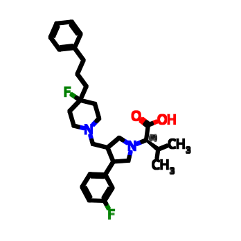 CC(C)[C@H](C(=O)O)N1CC(CN2CCC(F)(CCCc3ccccc3)CC2)C(c2cccc(F)c2)C1